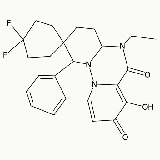 CCN1C(=O)c2c(O)c(=O)ccn2N2C1CCC1(CCC(F)(F)CC1)C2c1ccccc1